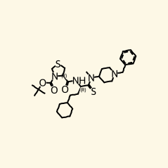 CN(C(=S)[C@@H](CCC1CCCCC1)NC(=O)[C@@H]1CSCN1C(=O)OC(C)(C)C)C1CCN(Cc2ccccc2)CC1